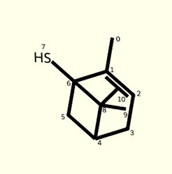 CC1=CCC2CC1(S)C2(C)C